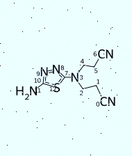 N#CCCN(CCC#N)c1nnc(N)s1